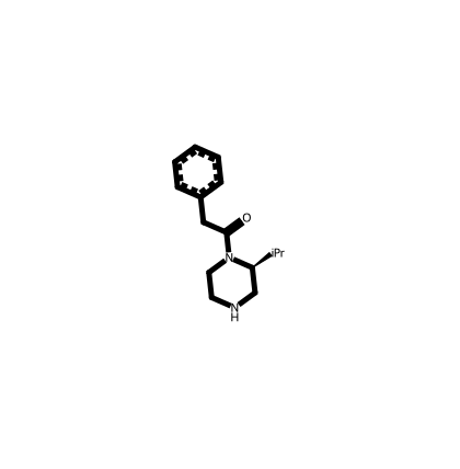 CC(C)[C@H]1CNCCN1C(=O)Cc1ccccc1